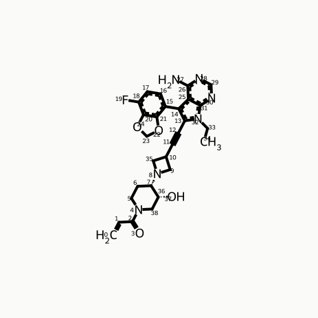 C=CC(=O)N1CC[C@H](N2CC(C#Cc3c(-c4ccc(F)c5c4OCO5)c4c(N)ncnc4n3CC)C2)[C@H](O)C1